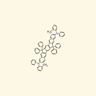 Cc1ccccc1N(c1ccccc1)c1ccc2cc3c(cc2c1)C(c1ccccc1)(c1ccccc1)c1cc2c(cc1-3)C(c1ccccc1)(c1ccccc1)c1cc3cc(N(c4ccccc4)c4ccccc4C)ccc3cc1-2